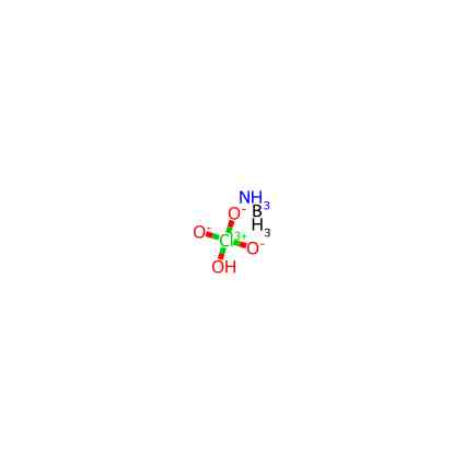 B.N.[O-][Cl+3]([O-])([O-])O